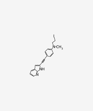 CN(CCI)c1ccc(C#Cc2cc3cccnc3[nH]2)cc1